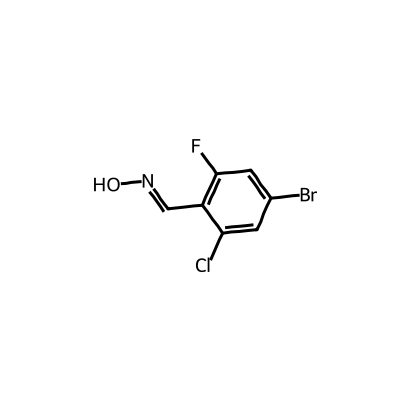 O/N=C/c1c(F)cc(Br)cc1Cl